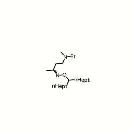 CCCCCCCC(CCCCCCC)O/N=C(/C)CCN(C)CC